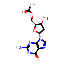 CCCC(=O)OC[C@H]1O[C@@H](n2cnc3c(=O)[nH]c(N)nc32)C[C@@H]1O